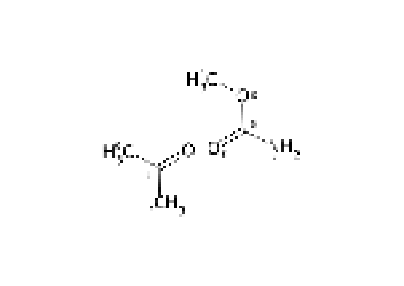 CC(C)=O.COC(N)=O